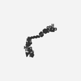 Cc1cc(NC(=O)Nc2cnc3ccnn3c2C2CC2)cnc1-c1noc(CCCCCCN2CCN(c3ccc4c(c3)CN(C3CCC(=O)NC3=O)C4=O)CC2)n1